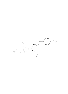 CCSC1=C(C(=O)OCc2ccc([N+](=O)[O-])cc2)N2C(=O)[C@H](CCOC(C)=O)C2C1